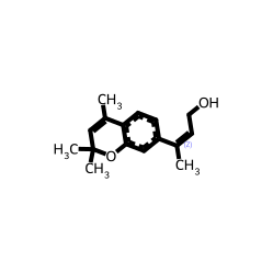 CC1=CC(C)(C)Oc2cc(/C(C)=C\CO)ccc21